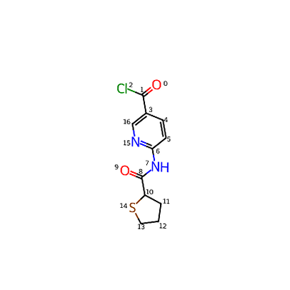 O=C(Cl)c1ccc(NC(=O)C2CCCS2)nc1